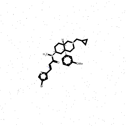 COc1cccc([C@@]23CCN(CC4CC4)C[C@H]2CC[C@H](N(C)C(=O)/C=C/c2cc(Br)cs2)C3)c1